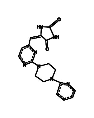 O=C1NC(=O)/C(=C\c2ccnc(N3CCN(c4ccccn4)CC3)n2)N1